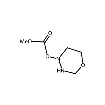 COC(=O)ON1CCOCN1